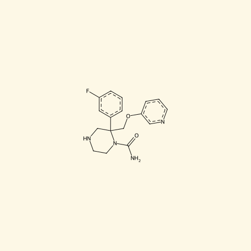 NC(=O)N1CCNCC1(COc1cccnc1)c1cccc(F)c1